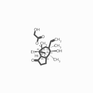 C=C[C@]1(C)C[C@@H](OC(=O)CO)[C@]2(CC)[C@H](C)CC[C@]3(CCC(=O)[C@H]32)[C@@H](C)[C@@H]1O